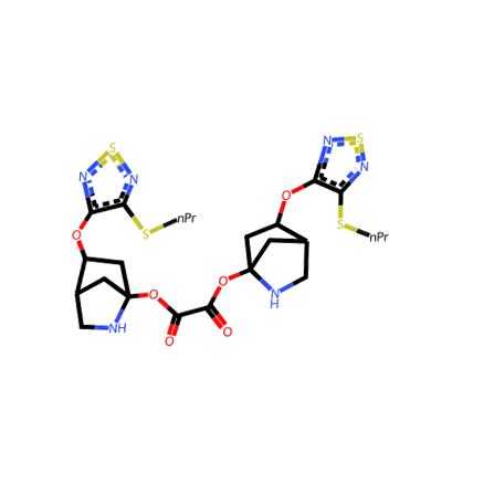 CCCSc1nsnc1OC1CC2(OC(=O)C(=O)OC34CC(CN3)C(Oc3nsnc3SCCC)C4)CC1CN2